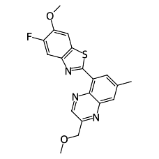 COCc1cnc2c(-c3nc4cc(F)c(OC)cc4s3)cc(C)cc2n1